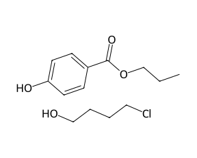 CCCOC(=O)c1ccc(O)cc1.OCCCCCl